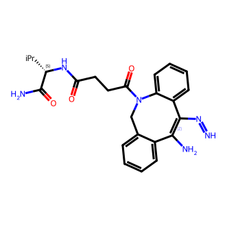 CC(C)[C@H](NC(=O)CCC(=O)N1Cc2ccccc2/C(N)=C(/N=N)c2ccccc21)C(N)=O